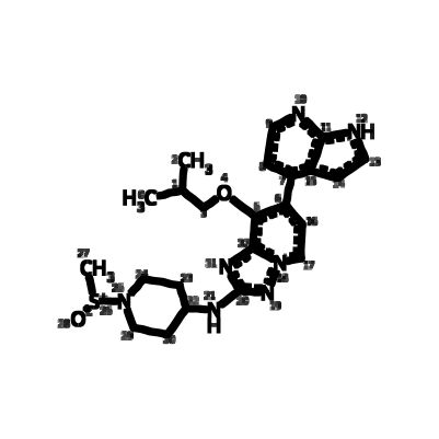 CC(C)COc1c(-c2ccnc3[nH]ccc23)ccn2nc(NC3CCN([S+](C)[O-])CC3)nc12